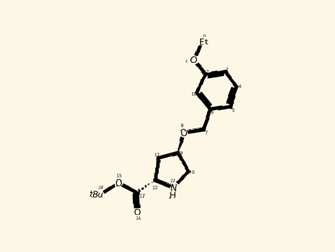 CCOc1cccc(CO[C@H]2CN[C@H](C(=O)OC(C)(C)C)C2)c1